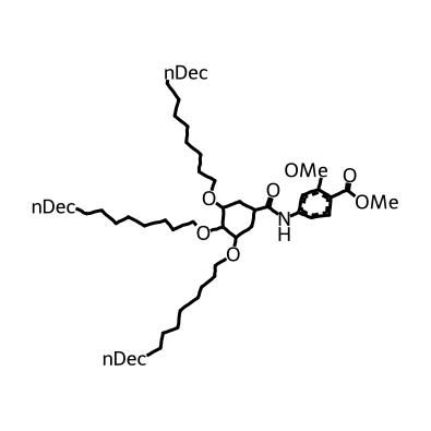 CCCCCCCCCCCCCCCCCCOC1CC(C(=O)Nc2ccc(C(=O)OC)c(OC)c2)CC(OCCCCCCCCCCCCCCCCCC)C1OCCCCCCCCCCCCCCCCCC